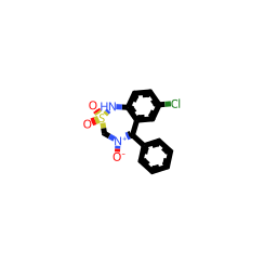 O=S1(=O)C[N+]([O-])=C(c2ccccc2)c2cc(Cl)ccc2N1